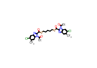 CCC(=O)n1c(C(=O)SCCCCCSC(=O)c2nc3cc(Cl)c(C(F)(F)F)cc3n2C(=O)CC)nc2cc(C(F)(F)F)c(Cl)cc21